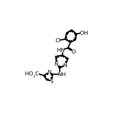 O=C(O)c1csc(Nc2ncc(NC(=O)c3cc(O)ccc3Cl)cn2)n1